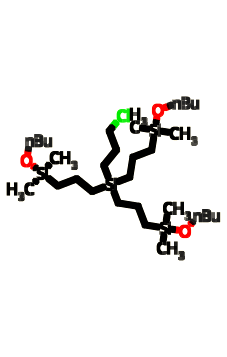 CCCCO[Si](C)(C)CCC[Si](CCCCl)(CCC[Si](C)(C)OCCCC)CCC[Si](C)(C)OCCCC